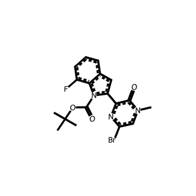 Cn1cc(Br)nc(-c2cc3cccc(F)c3n2C(=O)OC(C)(C)C)c1=O